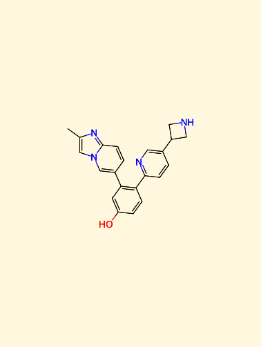 Cc1cn2cc(-c3cc(O)ccc3-c3ccc(C4CNC4)cn3)ccc2n1